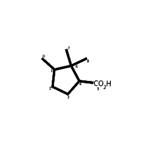 C[C]1CCC(C(=O)O)C1(C)C